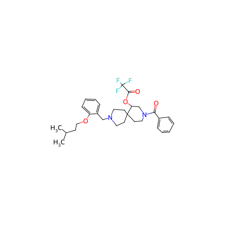 CC(C)CCOc1ccccc1CN1CCC2(CC1)CCN(C(=O)c1ccccc1)CC2OC(=O)C(F)(F)F